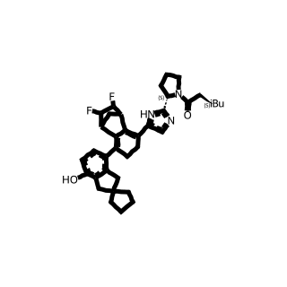 CC[C@H](C)CC(=O)N1CCC[C@H]1c1ncc(C2=C3C(=C(c4ccc(O)c5c4CC4(CCCC4)C5)CC2)C2CC3C(F)C2F)[nH]1